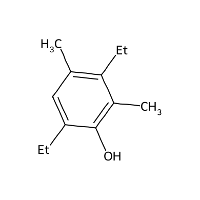 CCc1cc(C)c(CC)c(C)c1O